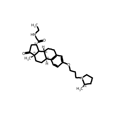 CCNC(=O)[C@H]1CC(=O)[C@@]2(C)CC[C@@H]3c4ccc(OCCCN5CCC[C@H]5C)cc4CC[C@H]3C12